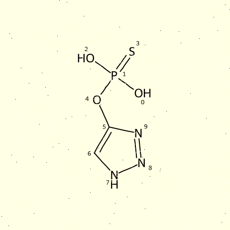 OP(O)(=S)Oc1c[nH]nn1